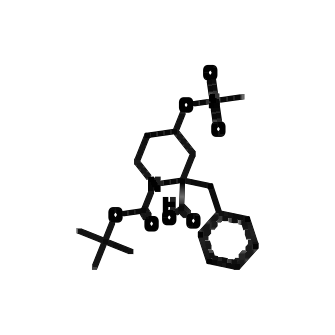 CC(C)(C)OC(=O)N1CCC(OS(C)(=O)=O)CC1(Cc1ccccc1)C(=O)O